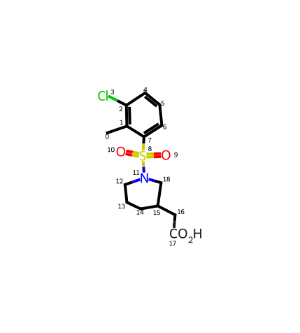 Cc1c(Cl)cccc1S(=O)(=O)N1CCCC(CC(=O)O)C1